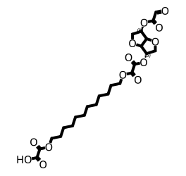 O=CC(=O)O[C@@H]1COC2C1OC[C@@H]2OC(=O)C(=O)OCCCCCCCCCCCCOC(=O)C(=O)O